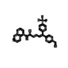 O=Cc1ccc(C(=CC=CC(=O)Nc2cccc3cnccc23)c2ccc(C(F)(F)F)cc2)cc1